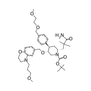 COCCCN1CCOc2ccc(CO[C@H]3CN(C(=O)OC(C)(C)C)[C@@H](CC(C)(C)C(N)=O)C[C@@H]3c3ccc(COCCOC)cc3)cc21